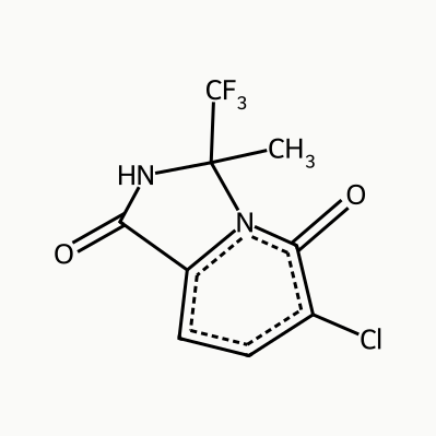 CC1(C(F)(F)F)NC(=O)c2ccc(Cl)c(=O)n21